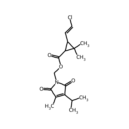 CC1=C(C(C)C)C(=O)N(COC(=O)C2C(C=CCl)C2(C)C)C1=O